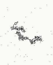 Cc1n[nH]c(Nc2ncnc3cc(OCCCN4CCN(c5cnc(C(=O)N6CCN(C[C@H]7CN(C(=O)OC(C)(C)C)[C@H](C)CN7CC(=O)N7CC(C)(C)c8ncc(Cc9ccc(F)cc9)cc87)C(C)C6)cn5)CC4)c(S(=O)(=O)C(C)(C)C)cc23)c1C